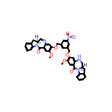 COc1cc2c(cc1OCc1cc(COc3cc4c(cc3OC)C(=O)N3c5ccccc5C[C@H]3CN4)cc([N+](=O)[O-])c1)N=C[C@@H]1Cc3ccccc3N1C2=O